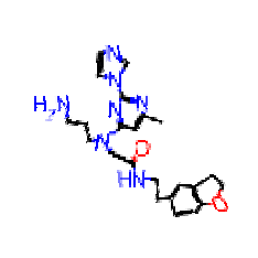 Cc1cc(N(CCCN)CC(=O)NCCc2ccc3c(c2)CCO3)nc(-n2ccnc2)n1